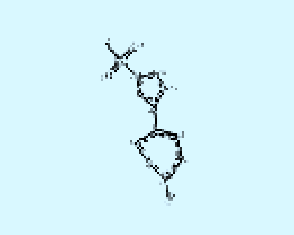 CS(=O)(=O)n1cc(-c2ccc(Br)cc2)nn1